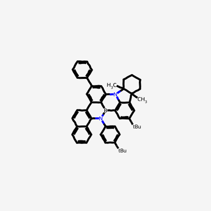 CC(C)(C)c1ccc(N2B3c4cc(C(C)(C)C)cc5c4N(c4cc(-c6ccccc6)cc(c43)-c3ccc4ccccc4c32)C2(C)CCCCC52C)cc1